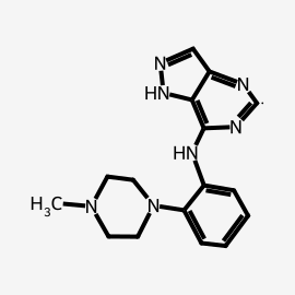 CN1CCN(c2ccccc2Nc2n[c]nc3cn[nH]c23)CC1